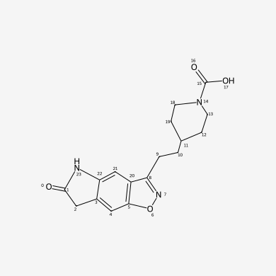 O=C1Cc2cc3onc(CCC4CCN(C(=O)O)CC4)c3cc2N1